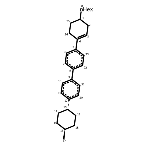 CCCCCCC1CC=C(c2ccc(-c3ccc([C@H]4CC[C@H](C)CC4)cc3)cc2)CC1